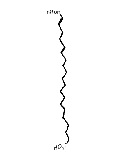 CCCCCCCCCC=CCCCCCCCCCCCCCCCCCC(=O)O